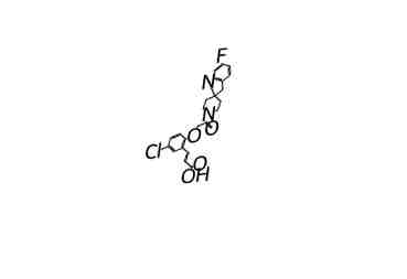 N#CC1(Cc2ccc(F)cc2)CCN(C(=O)COc2ccc(Cl)cc2C=CC(=O)O)CC1